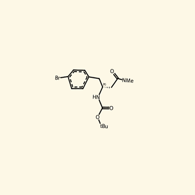 CNC(=O)C[C@@H](Cc1ccc(Br)cc1)NC(=O)OC(C)(C)C